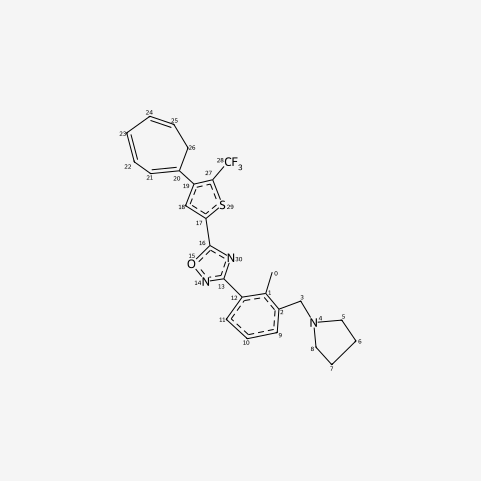 Cc1c(CN2CCCC2)cccc1-c1noc(-c2cc(C3=CC=CC=CC3)c(C(F)(F)F)s2)n1